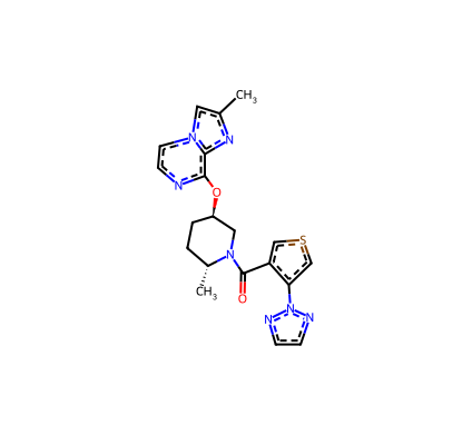 Cc1cn2ccnc(O[C@@H]3CC[C@@H](C)N(C(=O)c4cscc4-n4nccn4)C3)c2n1